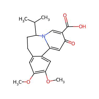 COc1cc2c(cc1OC)-c1cc(=O)c(C(=O)O)cn1C(C(C)C)CC2